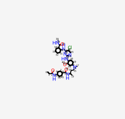 C=CC(=O)Nc1ccc(C(=O)NC(C)CCN(C)c2ccc(Nc3ncc(Cl)c(Nc4ccccc4C(=O)NC)n3)c(OC)c2)cc1